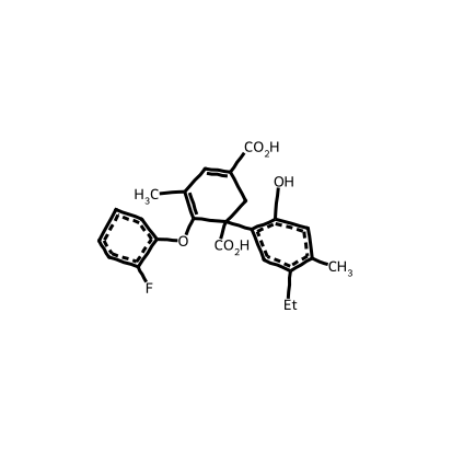 CCc1cc(C2(C(=O)O)CC(C(=O)O)=CC(C)=C2Oc2ccccc2F)c(O)cc1C